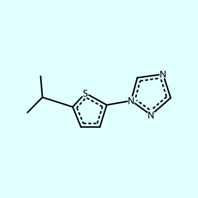 CC(C)c1ccc(-n2cncn2)s1